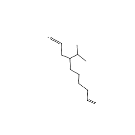 [CH]=CCC(CCCCC=C)C(C)C